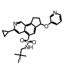 CC(C)(F)CNS(=O)(=O)c1cc2c(c3cnc(C4CC4)cc13)CCC2Oc1cccnc1